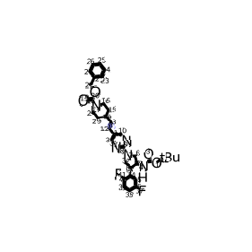 CC(C)(C)OC(=O)N[C@H]1CN(c2ncc(/C=C/C3CCN(C(=O)OCc4ccccc4)CC3)cn2)C[C@@H]1c1cc(F)ccc1F